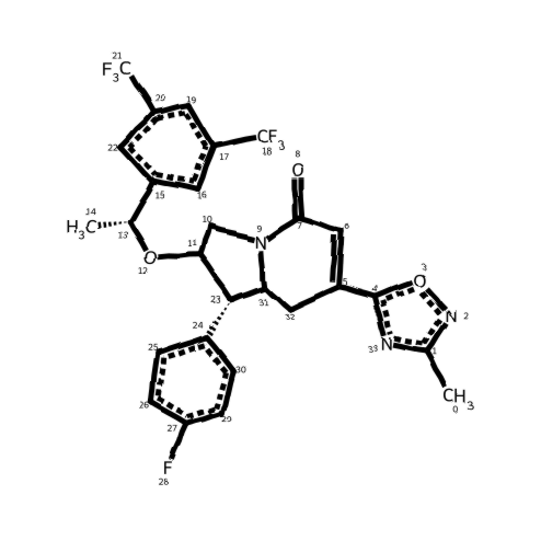 Cc1noc(C2=CC(=O)N3CC(O[C@H](C)c4cc(C(F)(F)F)cc(C(F)(F)F)c4)[C@@H](c4ccc(F)cc4)C3C2)n1